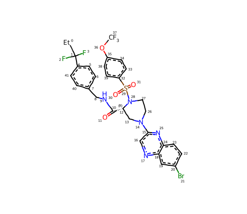 CCC(F)(F)c1ccc(CNC(=O)[C@H]2CN(c3cnc4cc(Br)ccc4n3)CCN2S(=O)(=O)c2ccc(OC(F)(F)F)cc2)cc1